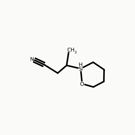 CC(CC#N)[SiH]1CCCCO1